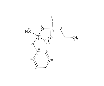 CCCS(=O)(=O)O[N+](C)(C)Cc1ccccc1